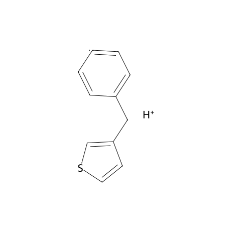 [H+].[c]1ccc(Cc2ccsc2)cc1